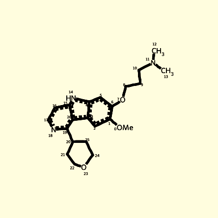 COc1cc2c(cc1OCCCN(C)C)[nH]c1ccnc(C3CCOCC3)c12